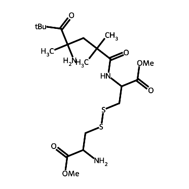 COC(=O)C(N)CSSCC(NC(=O)C(C)(C)CC(C)(N)C(=O)C(C)(C)C)C(=O)OC